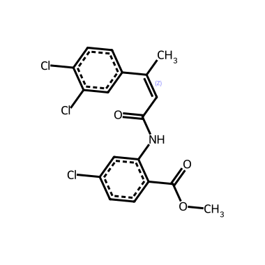 COC(=O)c1ccc(Cl)cc1NC(=O)/C=C(/C)c1ccc(Cl)c(Cl)c1